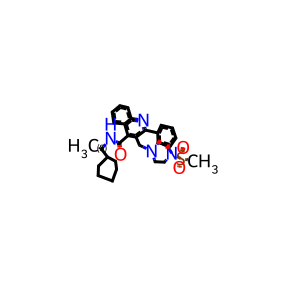 C[C@H](NC(=O)c1c(CN2CCN(S(C)(=O)=O)CC2)c(-c2ccccc2)nc2ccccc12)C1CCCCC1